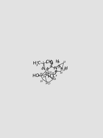 CC(C)=N[C@H](C(=O)N1[C@H](C)C[C@@H]2C[C@@H]21)C12CC3CC(CC(O)(C3)C1)C2